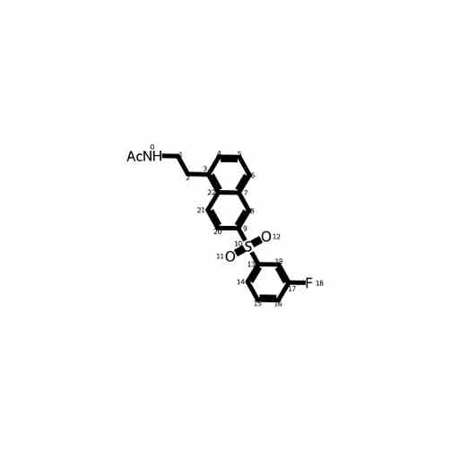 CC(=O)NCCc1cccc2cc(S(=O)(=O)c3cccc(F)c3)ccc12